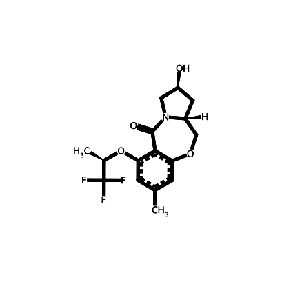 Cc1cc2c(c(O[C@H](C)C(F)(F)F)c1)C(=O)N1C[C@@H](O)C[C@@H]1CO2